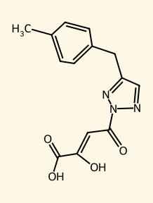 Cc1ccc(Cc2cnn(C(=O)C=C(O)C(=O)O)n2)cc1